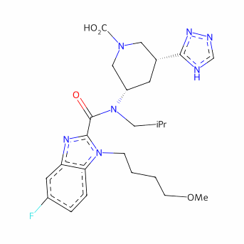 COCCCCn1c(C(=O)N(CC(C)C)[C@H]2C[C@@H](c3nnc[nH]3)CN(C(=O)O)C2)nc2cc(F)ccc21